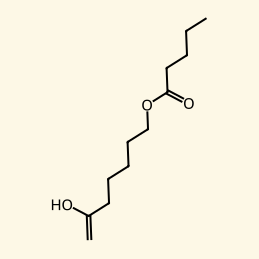 C=C(O)CCCCCOC(=O)CCCC